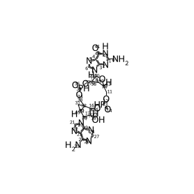 Nc1nc2c(ncn2[C@@H]2O[C@@H]3CO[PH](=O)O[C@H]4[C@@H](O)[C@H](n5cnc6c(N)ncnc65)[C@H]5CC54CO[PH](=O)O[C@@H]2C3)c(=O)[nH]1